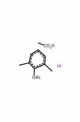 CC(=O)O.CC(=O)Oc1c(C)cccc1C.I